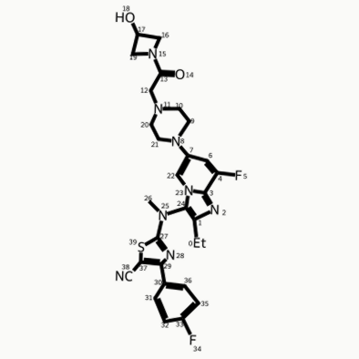 CCc1nc2c(F)cc(N3CCN(CC(=O)N4CC(O)C4)CC3)cn2c1N(C)c1nc(-c2ccc(F)cc2)c(C#N)s1